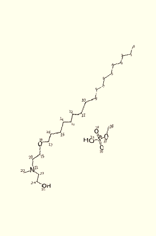 CCCCCCCCCCCCCCCCCCOCCN(C)CCO.COS(=O)(=O)O